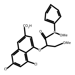 COCC(Oc1cc(C(=O)O)cc2cc(Cl)cc(Cl)c12)C(=O)N(OC)c1ccccc1